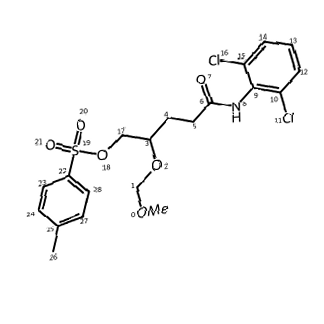 COCOC(CCC(=O)Nc1c(Cl)cccc1Cl)COS(=O)(=O)c1ccc(C)cc1